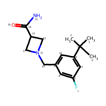 CC(C)(C)c1cc(F)cc(CN2CC(C(N)=O)C2)c1